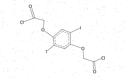 O=C(Cl)COc1cc(I)c(OCC(=O)Cl)cc1I